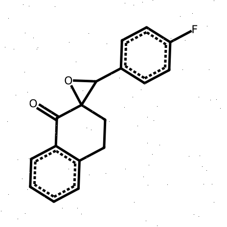 O=C1c2ccccc2CCC12OC2c1ccc(F)cc1